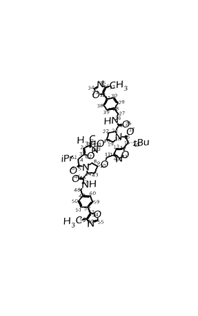 Cc1cc([C@H](C(=O)N2C[C@H](OCc3cc([C@H](C(=O)N4C[C@H](O)C[C@H]4C(=O)NCc4ccc(-c5ocnc5C)cc4)C(C)(C)C)on3)C[C@H]2C(=O)NCc2ccc(-c3ocnc3C)cc2)C(C)C)on1